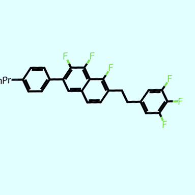 CCCc1ccc(-c2cc3ccc(CCc4cc(F)c(F)c(F)c4)c(F)c3c(F)c2F)cc1